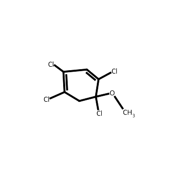 COC1(Cl)CC(Cl)=C(Cl)C=C1Cl